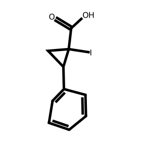 O=C(O)C1(I)CC1c1ccccc1